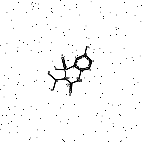 Cc1ccc2c(c1)P(C)(=O)N(C(C)C)C(=O)N2